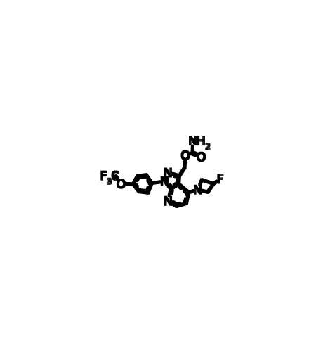 NC(=O)OCc1nn(-c2ccc(OC(F)(F)F)cc2)c2nccc(N3CC(F)C3)c12